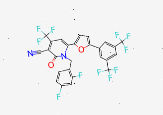 N#Cc1c(C(F)(F)F)cc(-c2ccc(-c3cc(C(F)(F)F)cc(C(F)(F)F)c3)o2)n(Cc2ccc(F)cc2F)c1=O